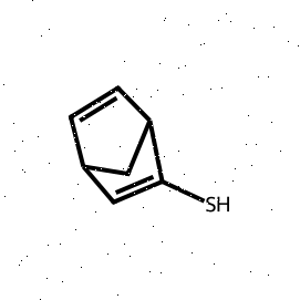 SC1=CC2C=CC1C2